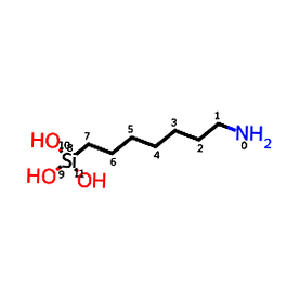 NCCCCCCC[Si](O)(O)O